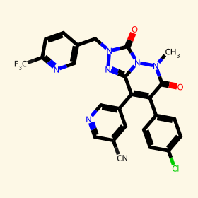 Cn1c(=O)c(-c2ccc(Cl)cc2)c(-c2cncc(C#N)c2)c2nn(Cc3ccc(C(F)(F)F)nc3)c(=O)n21